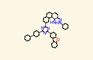 N=C1/C(=N\Nc2ccccc2)C=Cc2ccc3ccc(-c4nc(-c5ccc(-c6ccccc6)cc5)nc(-c5ccc6oc7ccccc7c6c5)n4)cc3c21